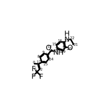 CC(=CC(F)(F)F)c1ccc(C(=O)Nc2ccc3c(c2)OCCN3)cc1